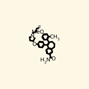 COc1ccc(C2=C(c3ccc(OC4CCN(CCCF)C4)cc3)c3ccc(C(N)=O)cc3CCC2)c(C)c1